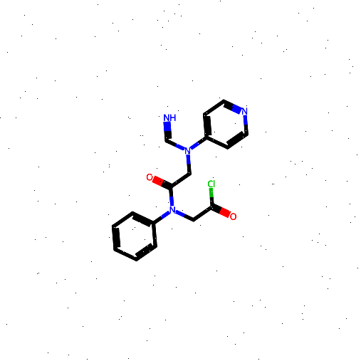 N=CN(CC(=O)N(CC(=O)Cl)c1ccccc1)c1ccncc1